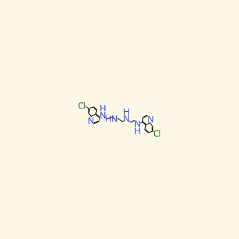 Clc1ccc2c(NCCNCCNCCNc3ccnc4cc(Cl)ccc34)ccnc2c1